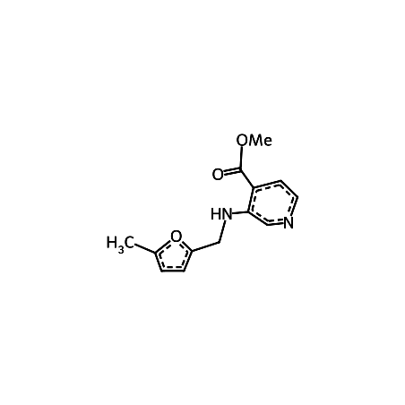 COC(=O)c1ccncc1NCc1ccc(C)o1